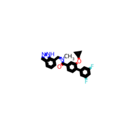 CN(Cc1cccc2cn[nH]c12)C(=O)c1ccc(-c2cc(F)cc(F)c2)c(OC2CC2)c1